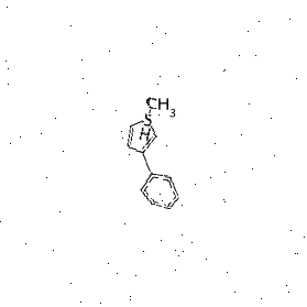 C[SH]1C=CC(c2ccccc2)=C1